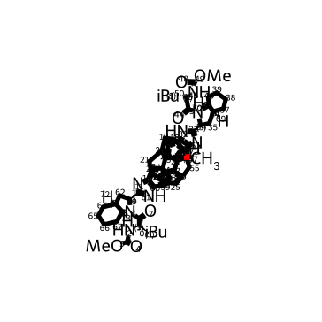 CC[C@H](C)[C@H](NC(=O)OC)C(=O)N1[C@H](c2nc3cc(-c4cc5ccc4CCc4ccc(c(-c6ccc7[nH]c([C@@H]8C[C@@H]9CCCC[C@@H]9N8C(=O)[C@@H](NC(=O)OC)[C@@H](C)CC)nc7c6)c4)C[C@H]5C)ccc3[nH]2)C[C@@H]2CCCC[C@@H]21